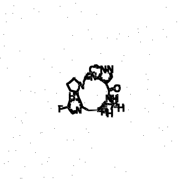 [2H]C([2H])([2H])[C@@]1([2H])CCc2ncc(F)cc2[C@@H]2CCCN2c2ccn3ncc(c3n2)C(=O)N1